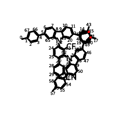 Cc1ccc(-c2ccc3c4ccc(-c5ccc(C)cc5)cc4n(-c4ccc(-c5cccc(C#N)c5)c(-n5c6cc(-c7ccc(C)cc7)ccc6c6ccc(-c7ccc(C)cc7)cc65)c4C(F)(F)F)c3c2)cc1